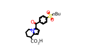 CCCCS(=O)(=O)c1ccc(C(=O)c2ccc3n2CCCC3C(=O)O)cc1